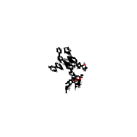 FC(F)(F)c1cc(-c2cc(C(F)(F)F)ccc2-n2c3ccccc3c3cc(-c4cc5c6c(c4)N(c4ccc(-c7ccccc7)cc4)c4ccc(-c7ccccc7)cc4B6c4cc(-c6ccccc6)ccc4N5c4ccc(-c5ccccc5)cc4)ccc32)cc(C(F)(F)F)c1